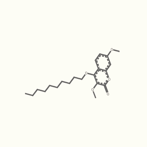 CCCCCCCCCCOc1c(OC)c(=O)oc2cc(OC)ccc12